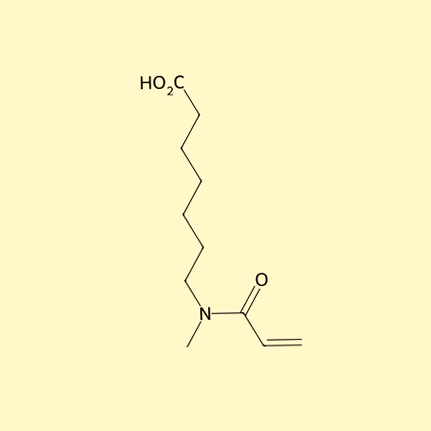 C=CC(=O)N(C)CCCCCCC(=O)O